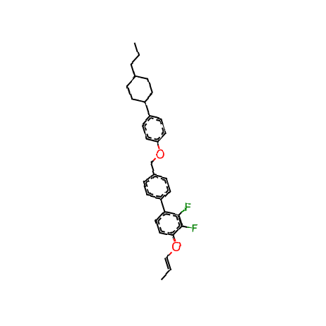 C/C=C/Oc1ccc(-c2ccc(COc3ccc(C4CCC(CCC)CC4)cc3)cc2)c(F)c1F